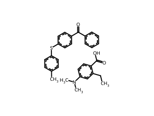 CCc1cc(N(C)C)ccc1C(=O)O.Cc1ccc(Sc2ccc(C(=O)c3ccccc3)cc2)cc1